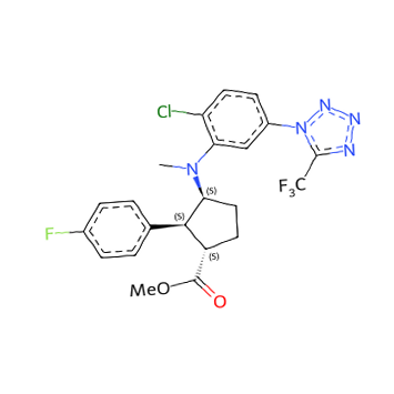 COC(=O)[C@H]1CC[C@H](N(C)c2cc(-n3nnnc3C(F)(F)F)ccc2Cl)[C@@H]1c1ccc(F)cc1